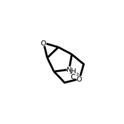 CN1C2COCC1C1OC12